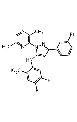 CCc1cccc(-c2cc(Nc3cc(F)c(F)cc3C(=O)O)n(-c3nc(C)cnc3C)n2)c1